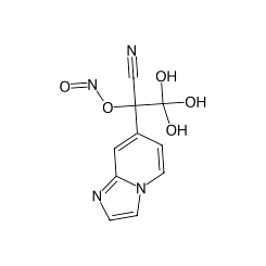 N#CC(ON=O)(c1ccn2ccnc2c1)C(O)(O)O